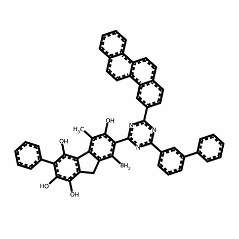 Bc1c2c(c(C)c(O)c1-c1nc(-c3cccc(-c4ccccc4)c3)nc(-c3ccc4ccc5c6ccccc6ccc5c4c3)n1)-c1c(O)c(-c3ccccc3)c(O)c(O)c1C2